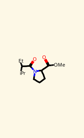 CCC(C(=O)N1CCCC1C(=O)OC)C(C)C